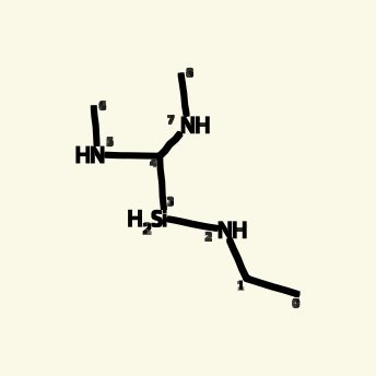 CCN[SiH2]C(NC)NC